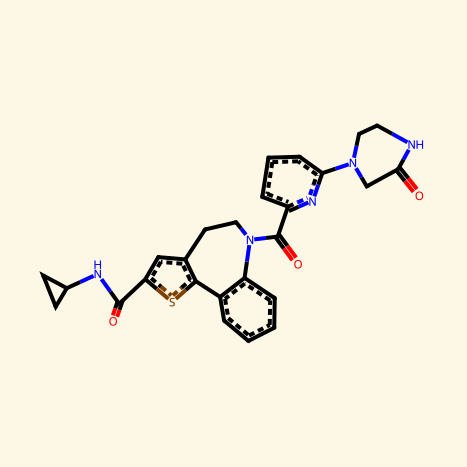 O=C1CN(c2cccc(C(=O)N3CCc4cc(C(=O)NC5CC5)sc4-c4ccccc43)n2)CCN1